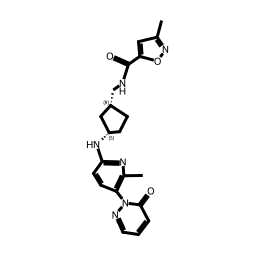 Cc1cc(C(=O)NC[C@@H]2CC[C@H](Nc3ccc(-n4ncccc4=O)c(C)n3)C2)on1